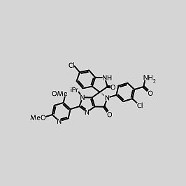 COc1cc(OC)c(-c2nc3c(n2C(C)C)[C@@]2(C(=O)Nc4cc(Cl)ccc42)N(c2ccc(C(N)=O)c(Cl)c2)C3=O)cn1